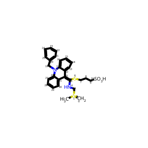 C=S(C)CNC(SCCCS(=O)(=O)O)=C1c2ccccc2N(Cc2ccccc2)c2ccccc21